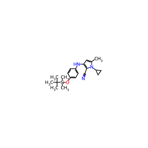 Cc1cc(Nc2ccc(O[Si](C)(C)C(C)(C)C)cc2)c(C#N)n1C1CC1